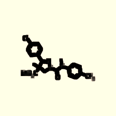 CCOC(=O)C1(C)CN(C(=O)N(C)c2ccc(C(F)(F)F)cc2)N=C1c1ccc(Cl)cc1